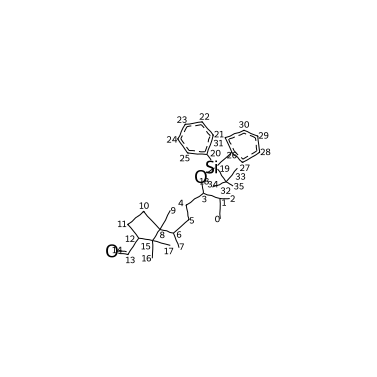 CC(C)C(CCC(C)C1(C)CCC(C=O)C1(C)C)O[Si](c1ccccc1)(c1ccccc1)C(C)(C)C